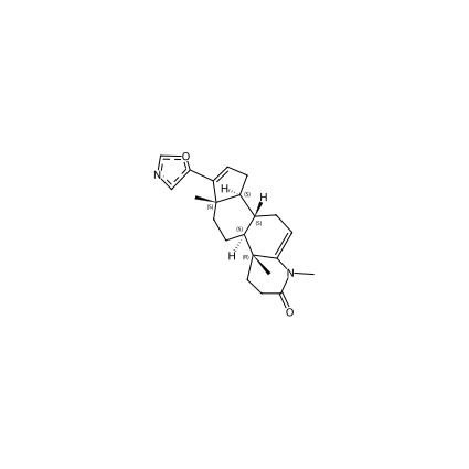 CN1C(=O)CC[C@@]2(C)C1=CC[C@@H]1[C@@H]2CC[C@]2(C)C(c3cnco3)=CC[C@@H]12